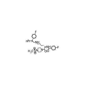 CCC[C@H](CNCCCC[C@H](NC(=O)c1ccc(F)cc1)C(=O)N1CCN(S(C)(=O)=O)CC1)c1ccc(F)cc1